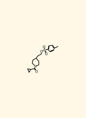 Cc1ccc(S(=O)(=O)OCCC2CCN(C(=O)C3CC3)CC2)cc1